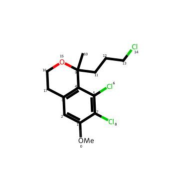 COc1cc2c(c(Cl)c1Cl)C(C)(CCCCl)OCC2